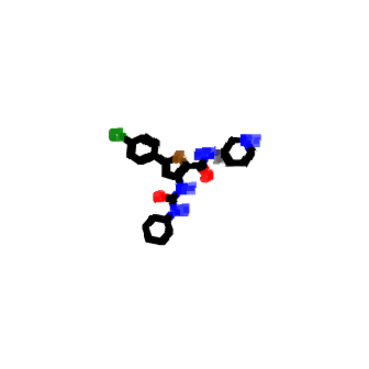 O=C(Nc1cc(-c2ccc(Cl)cc2)sc1C(=O)N[C@H]1CCCNC1)NC1CCCCC1